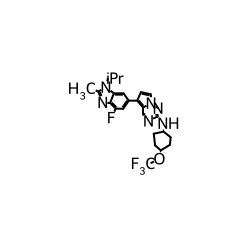 Cc1nc2c(F)cc(-c3ccn4nc(N[C@H]5CC[C@@H](OC(F)(F)F)CC5)ncc34)cc2n1C(C)C